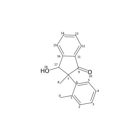 Cc1ccccc1C1(C)C(=O)c2ccccc2C1O